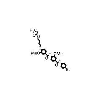 C=CC(=O)OCCCCOc1ccc(C(=O)Oc2ccc(C(=O)Oc3ccc(CC)cc3)cc2OC)cc1OC